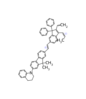 C=CC1=C(/C=C\C)c2ccc(/C=C/c3ccc4c(c3)C(C)(C)c3cc(N5CCCc6ccccc65)ccc3-4)cc2C1(c1ccccc1)c1ccccc1